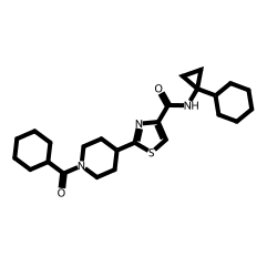 O=C(NC1(C2CCCCC2)CC1)c1csc(C2CCN(C(=O)C3CCCCC3)CC2)n1